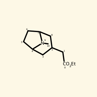 CCOC(=O)CC1CC2CCC(C1)N2C